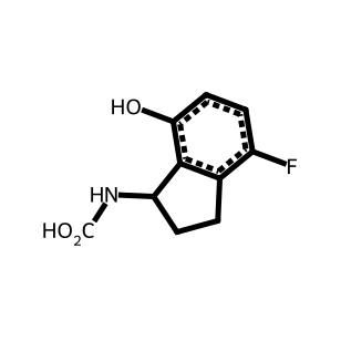 O=C(O)NC1CCc2c(F)ccc(O)c21